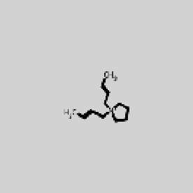 CC=CC[N+]1(CC=CC)CCCC1